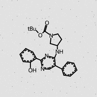 CC(C)(C)OC(=O)N1CCC(Nc2nc(-c3ccccc3O)ncc2-c2ccccc2)C1